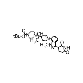 Cn1nc(C2CCC(=O)NC2=O)c2cccc(N3CCC(C(C)(C)N4CCN(C(=O)OC(C)(C)C)CC4)CC3)c21